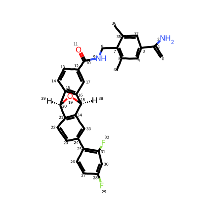 C=C(N)c1cc(C)c(CNC(=O)c2ccc3c(c2)[C@@H]2O[C@H]3c3ccc(-c4ccc(F)cc4F)cc32)c(C)c1